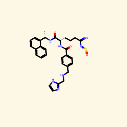 C[C@H](NC(=O)[C@H](CCCC(=N)N=S=O)NC(=O)c1ccc(CNCc2ncc[nH]2)cc1)c1cccc2ccccc12